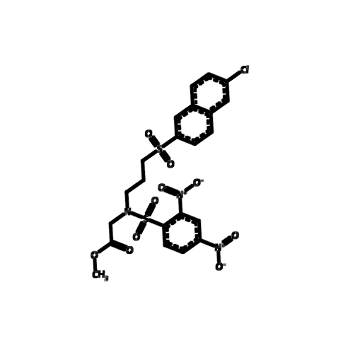 COC(=O)CN(CCCS(=O)(=O)c1ccc2cc(Cl)ccc2c1)S(=O)(=O)c1ccc([N+](=O)[O-])cc1[N+](=O)[O-]